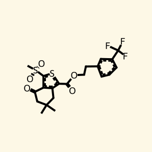 CC1(C)CC(=O)c2c(S(C)(=O)=O)sc(C(=O)OCCc3cccc(C(F)(F)F)c3)c2C1